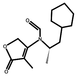 CC1=C(N(C=O)[C@@H](C)CC2CCCCC2)COC1=O